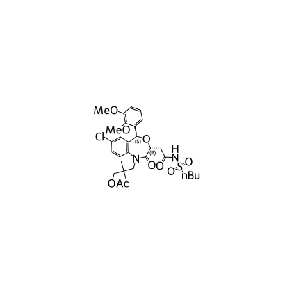 CCCCS(=O)(=O)NC(=O)C[C@H]1O[C@H](c2cccc(OC)c2OC)c2cc(Cl)ccc2N(CC(C)(C)COC(C)=O)C1=O